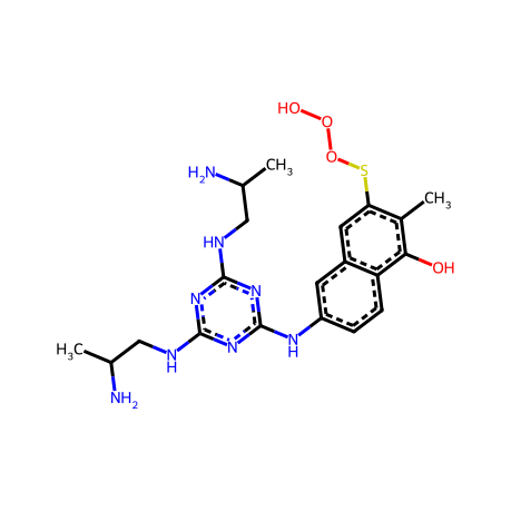 Cc1c(SOOO)cc2cc(Nc3nc(NCC(C)N)nc(NCC(C)N)n3)ccc2c1O